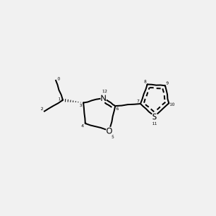 CC(C)[C@H]1COC(c2cccs2)=N1